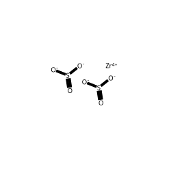 O=S([O-])[O-].O=S([O-])[O-].[Zr+4]